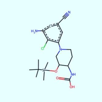 CC(C)(C)[Si](C)(C)OC1CN(c2cc(C#N)cc(N)c2Cl)CCC1NC(=O)O